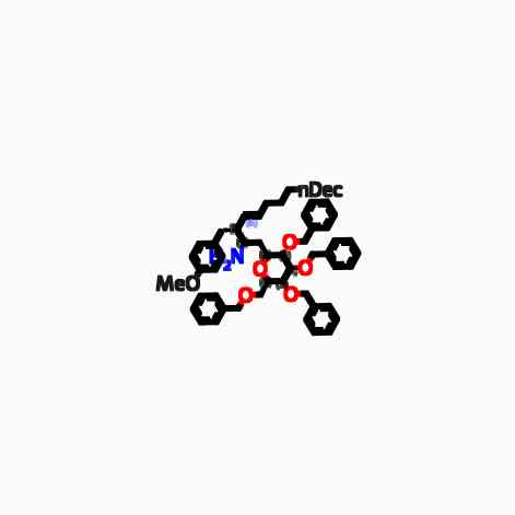 CCCCCCCCCCCCC/C=C/[C@@H](Cc1ccc(OC)cc1)[C@@H](N)C[C@@H]1O[C@H](COCc2ccccc2)[C@H](OCc2ccccc2)[C@H](OCc2ccccc2)[C@H]1OCc1ccccc1